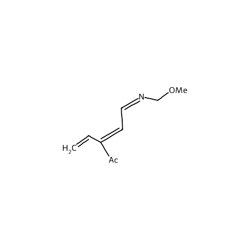 C=C/C(=C\C=N/COC)C(C)=O